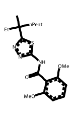 CCCCCC(C)(CC)c1nnc(NC(=O)c2c(OC)cccc2OC)s1